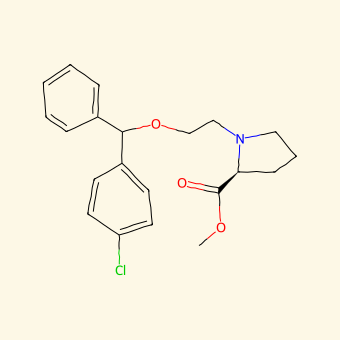 COC(=O)[C@@H]1CCCN1CCOC(c1ccccc1)c1ccc(Cl)cc1